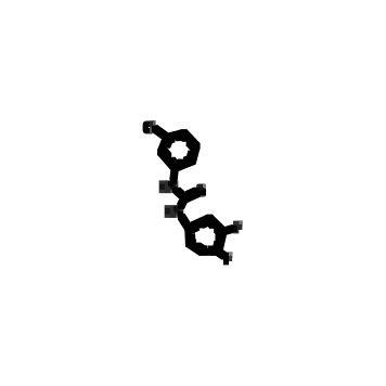 Fc1ccc(NC(=S)Nc2cccc(Cl)c2)cc1F